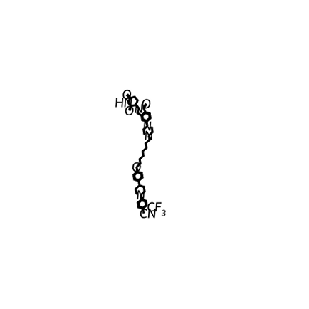 N#Cc1ccc(N2CCC(c3ccc(OCCCCCCCN4CCN(c5ccc6c(c5)CN(C5CCC(=O)NC5=O)C6=O)CC4)cc3)CC2)cc1C(F)(F)F